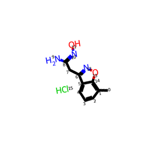 Cc1cccc2c(CC(N)=NO)noc12.Cl